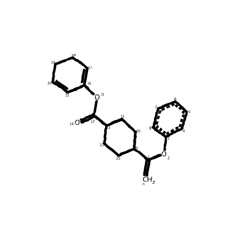 C=C(Oc1ccccc1)C1CCC(C(=O)OC2=CCCC=C2)CC1